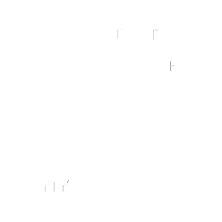 CCC[C@H]1CC[C@H](C2CCC(c3cc(F)c(F)c(F)c3)CC2)CC1